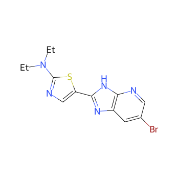 CCN(CC)c1ncc(-c2nc3cc(Br)cnc3[nH]2)s1